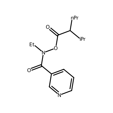 CCCC(C(=O)ON(CC)C(=O)c1cccnc1)C(C)C